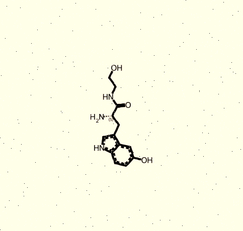 N[C@@H](Cc1c[nH]c2ccc(O)cc12)C(=O)NCCO